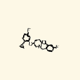 Fc1ccc(CN2CCCC(Oc3cc(F)ccc3C3CC3)C2)c(Cl)c1